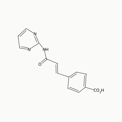 O=C(C=Cc1ccc(C(=O)O)cc1)Nc1ncccn1